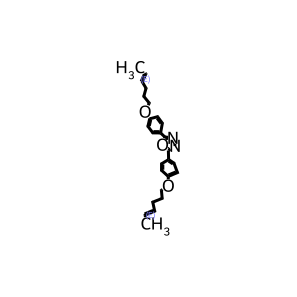 C/C=C/CCCOc1ccc(-c2nnc(-c3ccc(OCCC/C=C/C)cc3)o2)cc1